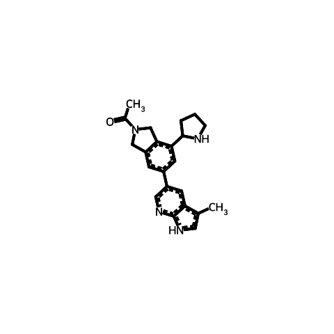 CC(=O)N1Cc2cc(-c3cnc4[nH]cc(C)c4c3)cc(C3CCCN3)c2C1